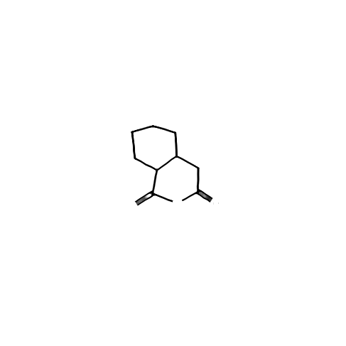 O=C1CC2CCCCC2C(=O)O1